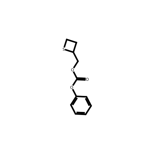 O=C(OCC1CCS1)Oc1ccccc1